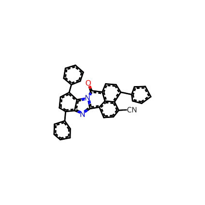 N#Cc1ccc2c3c1c(-c1ccccc1)ccc3c(=O)n1c2nc2c(-c3ccccc3)ccc(-c3ccccc3)c21